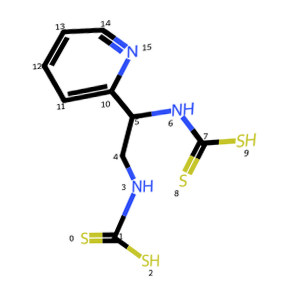 S=C(S)NCC(NC(=S)S)c1ccccn1